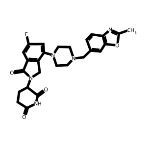 Cc1nc2ccc(CN3CCN(c4cc(F)cc5c4CN(C4CCC(=O)NC4=O)C5=O)CC3)cc2o1